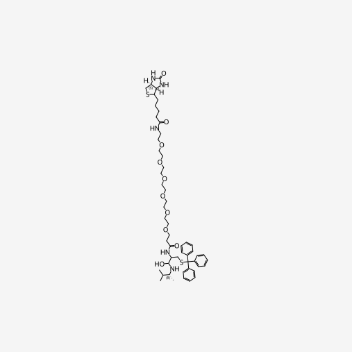 CC(C)[C@@H](C)NC(O)C(CSC(c1ccccc1)(c1ccccc1)c1ccccc1)NC(=O)CCOCCOCCOCCOCCOCCOCCNC(=O)CCCCC1SC[C@H]2NC(=O)N[C@@H]12